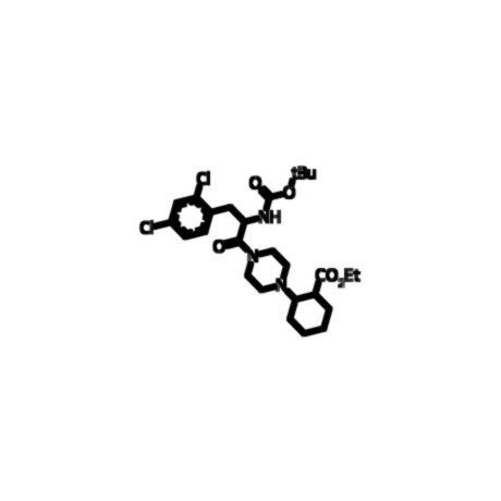 CCOC(=O)C1CCCCC1N1CCN(C(=O)C(Cc2ccc(Cl)cc2Cl)NC(=O)OC(C)(C)C)CC1